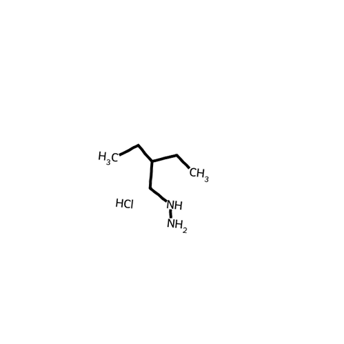 CCC(CC)CNN.Cl